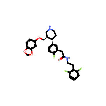 O=C(Cc1cc([C@@H]2CCNC[C@H]2COc2ccc3c(c2)OCO3)ccc1F)NCCc1c(F)c#ccc1F